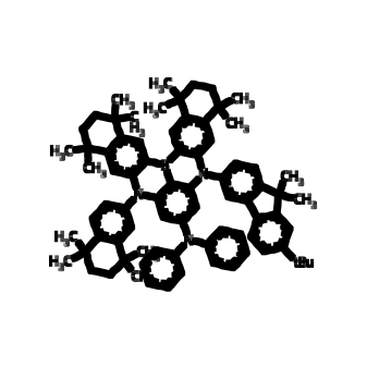 CC(C)(C)c1ccc2c(c1)C(C)(C)c1ccc(N3c4cc5c(cc4B4c6cc7c(cc6N(c6ccc8c(c6)C(C)(C)CCC8(C)C)c6cc(N(c8ccccc8)c8ccccc8)cc3c64)C(C)(C)CCC7(C)C)C(C)(C)CCC5(C)C)cc1-2